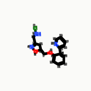 ClNCC1=NOC(COc2ccccc2-c2ccccn2)C1